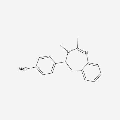 COc1ccc(C2Cc3ccccc3N=C(C)N2C)cc1